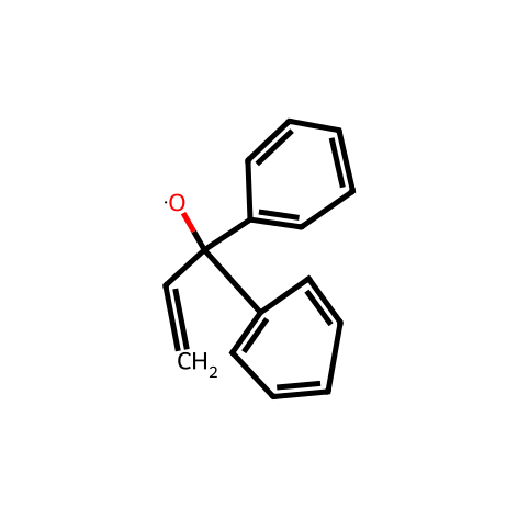 C=CC([O])(c1ccccc1)c1ccccc1